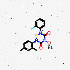 CCON1C(=O)N(c2ccc(C)cc2C)SN(c2ccccc2F)C1=O